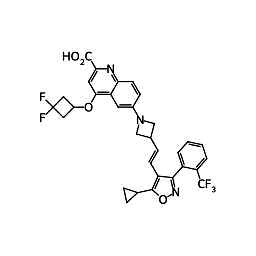 O=C(O)c1cc(OC2CC(F)(F)C2)c2cc(N3CC(C=Cc4c(-c5ccccc5C(F)(F)F)noc4C4CC4)C3)ccc2n1